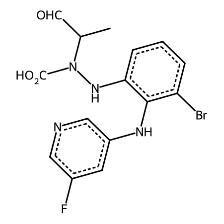 CC(C=O)N(Nc1cccc(Br)c1Nc1cncc(F)c1)C(=O)O